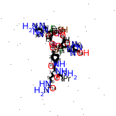 CC(C)[C@H](N)C(=O)N[C@@H](CCCCNC(N)=O)C(=O)Nc1ccc(CSP2(=O)OC[C@H]3O[C@@H](n4cnc5c(N)ncnc54)[C@H](F)[C@@H]3OP(=O)(S)OC[C@H]3O[C@@H](n4cnc5c(O)ncnc54)[C@H](F)[C@@H]3O2)cc1